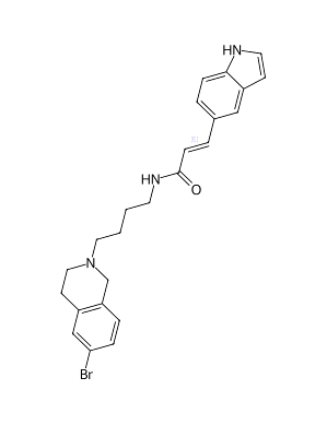 O=C(/C=C/c1ccc2[nH]ccc2c1)NCCCCN1CCc2cc(Br)ccc2C1